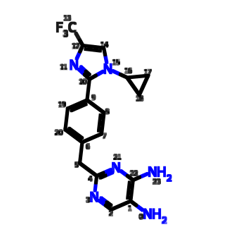 Nc1cnc(Cc2ccc(-c3nc(C(F)(F)F)cn3C3CC3)cc2)nc1N